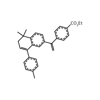 C=C(c1ccc(C(=O)OCC)cc1)c1ccc2c(c1)C(c1ccc(C)cc1)=CCC2(C)C